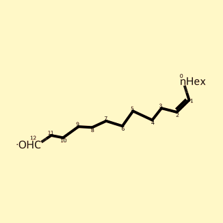 CCCCCC/C=C\CCCCCCCCC[C]=O